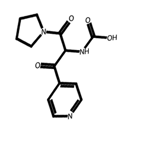 O=C(O)NC(C(=O)c1ccncc1)C(=O)N1CCCC1